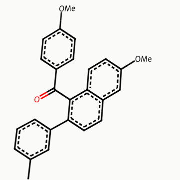 COc1ccc(C(=O)c2c(-c3cccc(C)c3)ccc3cc(OC)ccc23)cc1